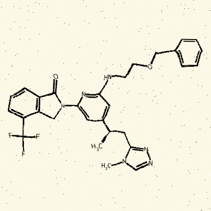 C[C@H](Cc1nncn1C)c1cc(NCCOCc2ccccc2)nc(N2Cc3c(cccc3C(F)(F)F)C2=O)c1